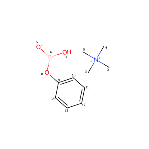 C[N+](C)(C)C.[O-]B(O)Oc1ccccc1